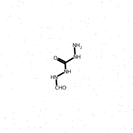 NNC(=O)NN[C]=O